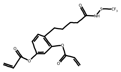 C=CC(=O)Oc1ccc(CCCCC(=O)NSC(F)(F)F)c(OC(=O)C=C)c1